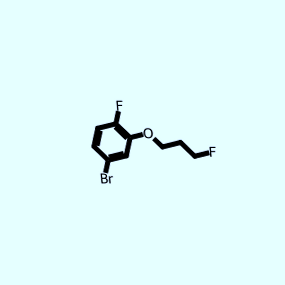 FCCCOc1cc(Br)ccc1F